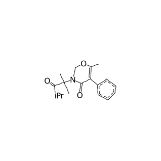 CC1=C(c2ccccc2)C(=O)N(C(C)(C)C(=O)C(C)C)CO1